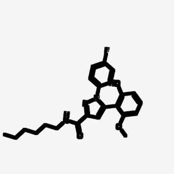 CCCCCCNC(=O)c1cc(-c2c(O)cccc2OC)n(C2=C=C=C(F)C=C2)n1